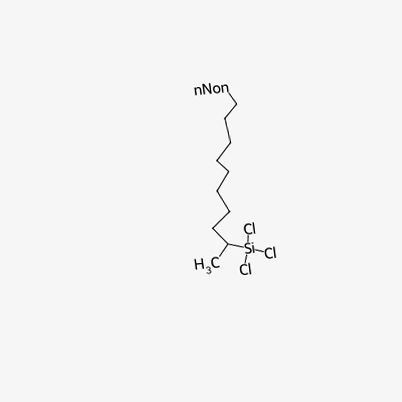 CCCCCCCCCCCCCCCCCC(C)[Si](Cl)(Cl)Cl